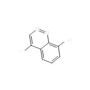 CC(=O)c1cnnc2c(O)cccc12